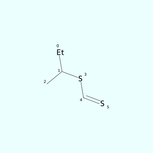 CCC(C)SC=S